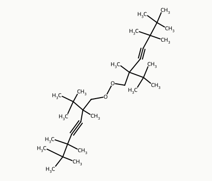 CC(C)(C)C(C)(C)C#CC(C)(COOCC(C)(C#CC(C)(C)C(C)(C)C)C(C)(C)C)C(C)(C)C